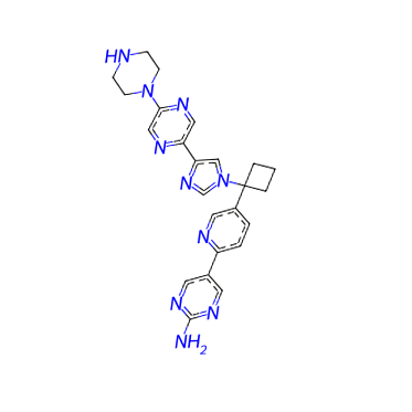 Nc1ncc(-c2ccc(C3(n4cnc(-c5cnc(N6CCNCC6)cn5)c4)CCC3)cn2)cn1